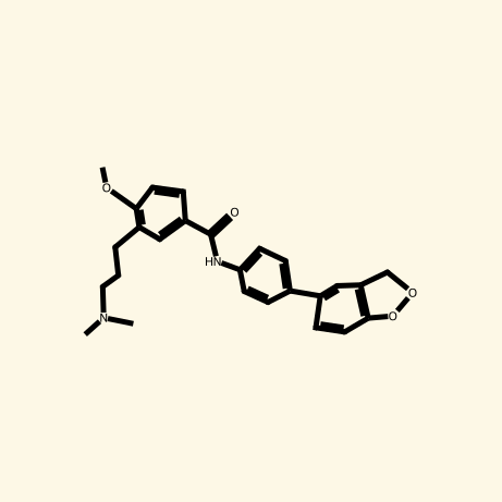 COc1ccc(C(=O)Nc2ccc(-c3ccc4c(c3)COO4)cc2)cc1CCCN(C)C